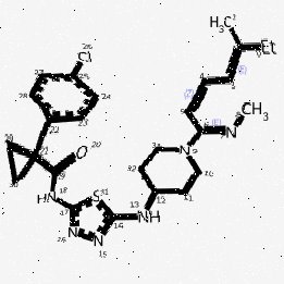 CC/C(C)=C/C=C\C(=N/C)N1CCC(Nc2nnc(NC(=O)C3(c4ccc(Cl)cc4)CC3)s2)CC1